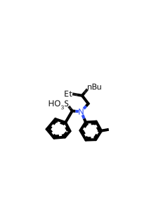 CCCCC(CC)CN(c1cccc(C)c1)C(c1ccccc1)S(=O)(=O)O